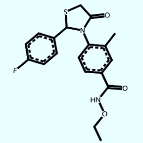 CCONC(=O)c1ccc(N2C(=O)CSC2c2ccc(F)cc2)c(C)c1